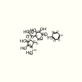 O=S(=O)(O)O[C@H]1[C@H](O)[C@@H](O)[C@H](OCc2ccccc2)O[C@@H]1CC1C[C@@H](O)[C@H](O)[C@H]1CO